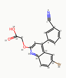 N#Cc1cccc(-c2cc(OCC(=O)O)nc3ccc(Br)cc23)c1